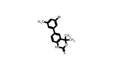 Cc1cc(Br)cc(-c2ccc3c(c2)C(C)(C)OC(=S)N3)c1